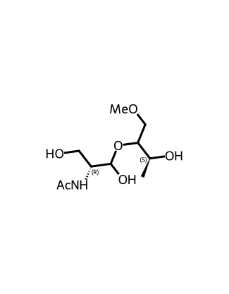 COCC(OC(O)[C@@H](CO)NC(C)=O)[C@H](C)O